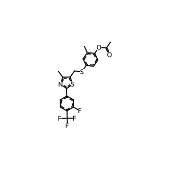 CC(=O)Oc1ccc(SCc2sc(-c3ccc(C(F)(F)F)c(F)c3)nc2C)cc1C